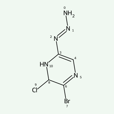 NN=NC1=CN=C(Br)C(Cl)N1